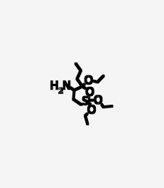 CCCC1(OCC)O[Si](OCC)(OCC)CCC1N